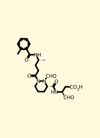 Cc1ccccc1C(=O)N[C@H](C)CCC(=O)N1CCC[C@@H](C(=O)N[C@H](C=O)CC(=O)O)N1C=O